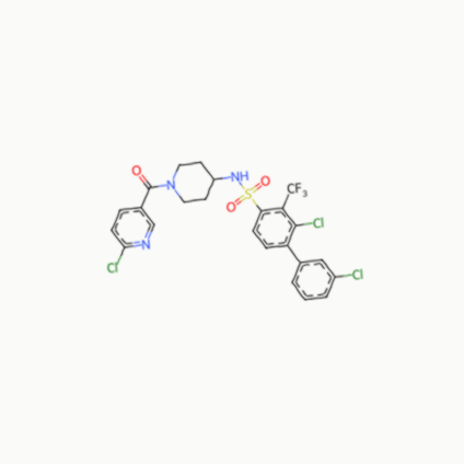 O=C(c1ccc(Cl)nc1)N1CCC(NS(=O)(=O)c2ccc(-c3cccc(Cl)c3)c(Cl)c2C(F)(F)F)CC1